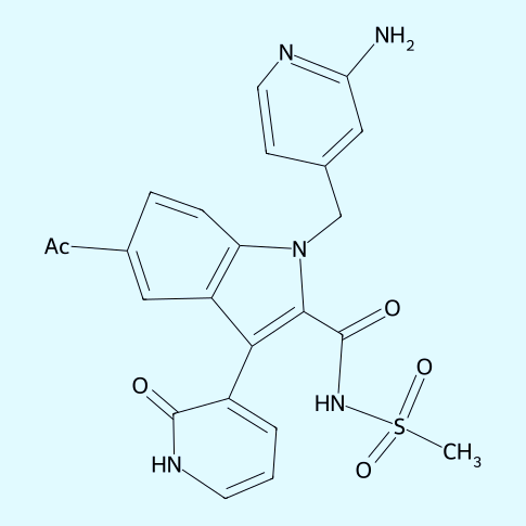 CC(=O)c1ccc2c(c1)c(-c1ccc[nH]c1=O)c(C(=O)NS(C)(=O)=O)n2Cc1ccnc(N)c1